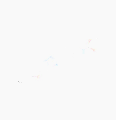 COCCOC1CCn2nc(-c3ccc(CNC(=O)OC(C)(C)C)cc3)nc2C1